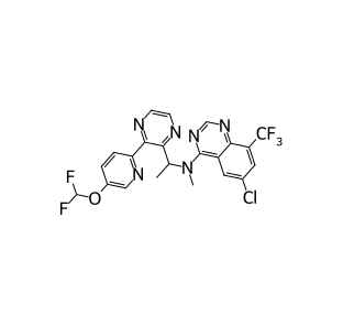 CC(c1nccnc1-c1ccc(OC(F)F)cn1)N(C)c1ncnc2c(C(F)(F)F)cc(Cl)cc12